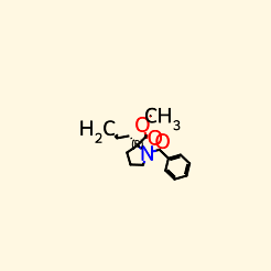 C=CC[C@@]1(C(=O)OC)CCCN1C(=O)c1ccccc1